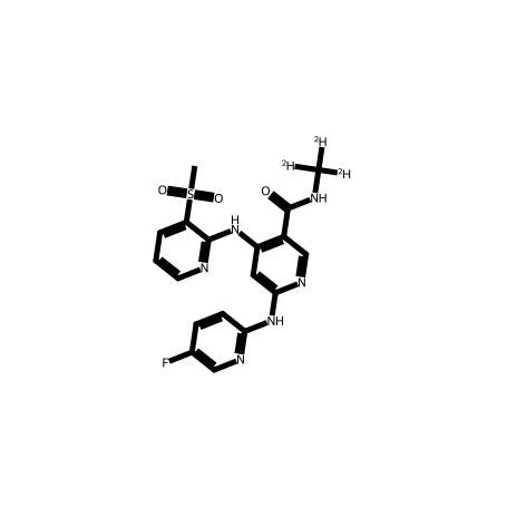 [2H]C([2H])([2H])NC(=O)c1cnc(Nc2ccc(F)cn2)cc1Nc1ncccc1S(C)(=O)=O